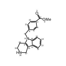 COC(=O)c1ccc(Cn2c3c(c4ccccc42)CNCC3)cc1